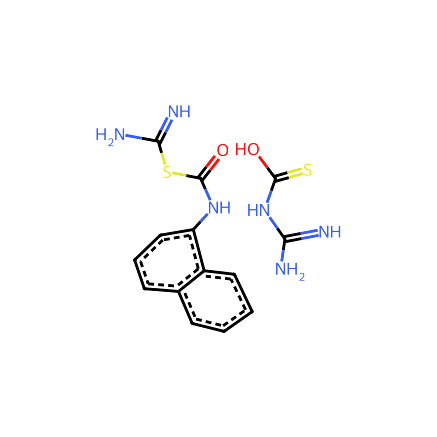 N=C(N)NC(O)=S.N=C(N)SC(=O)Nc1cccc2ccccc12